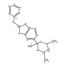 CC1CC(O)(c2ccc3c(c2)CN(Cc2ccccc2)C3)CC(C)O1